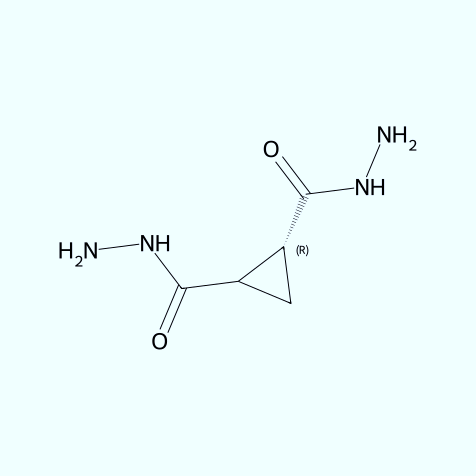 NNC(=O)C1C[C@H]1C(=O)NN